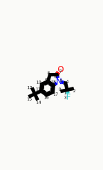 CC(C)(F)CN1C(=O)Cc2cc(C(C)(C)C)ccc21